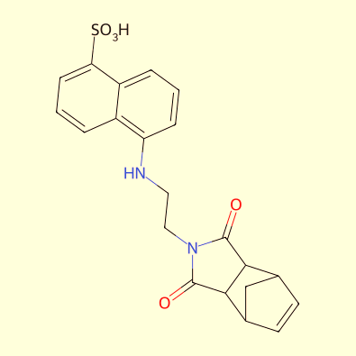 O=C1C2C3C=CC(C3)C2C(=O)N1CCNc1cccc2c(S(=O)(=O)O)cccc12